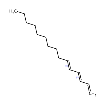 C=C/C=C/[C]=C/CCCCCCCCC